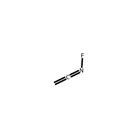 C=C=NF